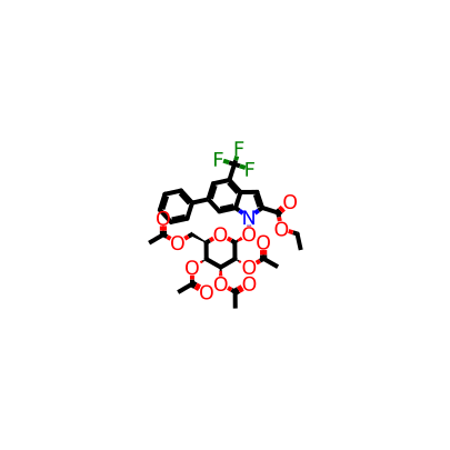 CCOC(=O)c1cc2c(C(F)(F)F)cc(-c3ccccc3)cc2n1O[C@@H]1O[C@H](COC(C)=O)[C@@H](OC(C)=O)[C@H](OC(C)=O)[C@H]1OC(C)=O